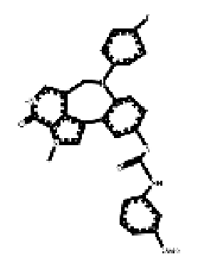 COc1cccc(NC(=O)Nc2ccc3c(c2)-c2cn(C)c4c(=O)[nH]cc(c24)CN3c2ccc(F)cc2)c1